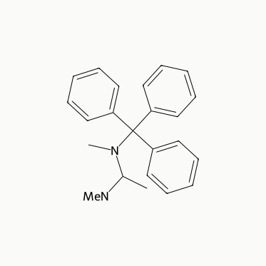 CNC(C)N(C)C(c1ccccc1)(c1ccccc1)c1ccccc1